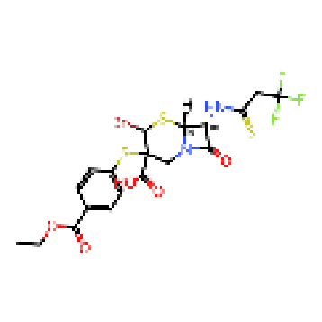 CCOC(=O)c1ccc(SC2(C(=O)O)CN3C(=O)[C@@H](NC(=S)CC(F)(F)F)[C@H]3SC2Br)cc1